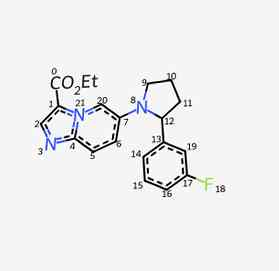 CCOC(=O)c1cnc2ccc(N3CCCC3c3cccc(F)c3)cn12